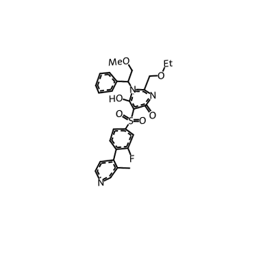 CCOCc1nc(=O)c(S(=O)(=O)c2ccc(-c3ccncc3C)c(F)c2)c(O)n1C(COC)c1ccccc1